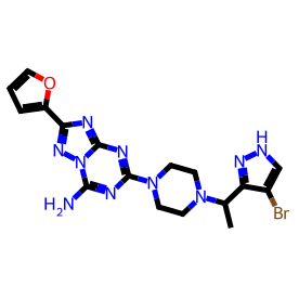 CC(c1n[nH]cc1Br)N1CCN(c2nc(N)n3nc(-c4ccco4)nc3n2)CC1